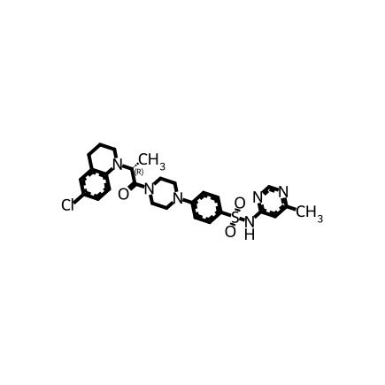 Cc1cc(NS(=O)(=O)c2ccc(N3CCN(C(=O)[C@@H](C)N4CCCc5cc(Cl)ccc54)CC3)cc2)ncn1